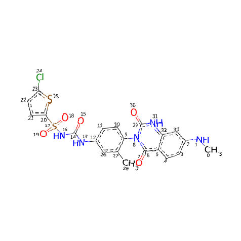 CNc1ccc2c(=O)n(-c3ccc(NC(=O)NS(=O)(=O)c4ccc(Cl)s4)cc3C)c(=O)[nH]c2c1